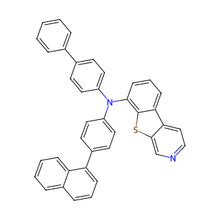 c1ccc(-c2ccc(N(c3ccc(-c4cccc5ccccc45)cc3)c3cccc4c3sc3cnccc34)cc2)cc1